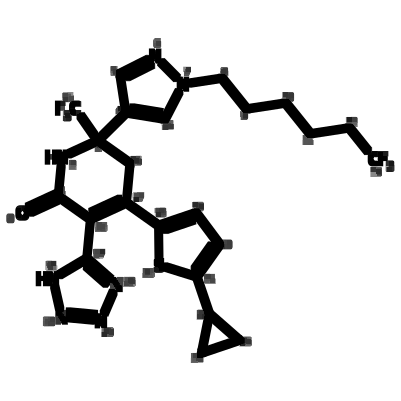 O=C1NC(c2cnn(CCCCCC(F)(F)F)c2)(C(F)(F)F)CC(c2ccc(C3CC3)s2)=C1c1nnn[nH]1